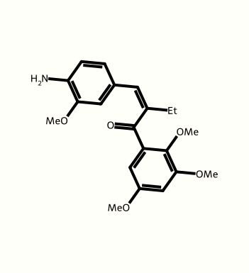 CCC(=Cc1ccc(N)c(OC)c1)C(=O)c1cc(OC)cc(OC)c1OC